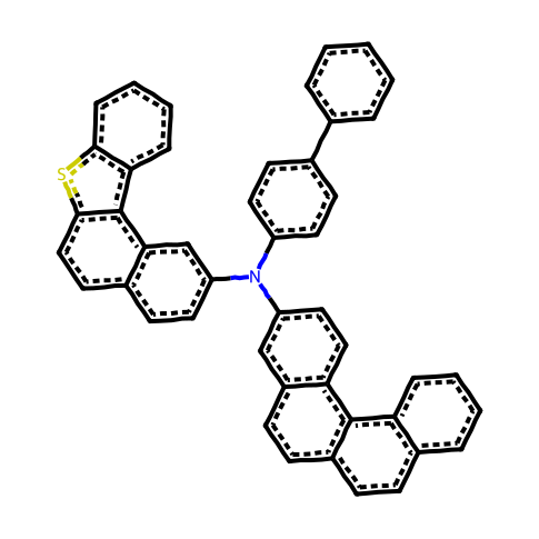 c1ccc(-c2ccc(N(c3ccc4c(ccc5ccc6ccccc6c54)c3)c3ccc4ccc5sc6ccccc6c5c4c3)cc2)cc1